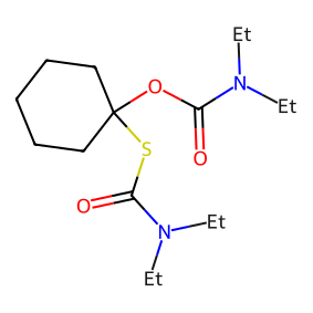 CCN(CC)C(=O)OC1(SC(=O)N(CC)CC)CCCCC1